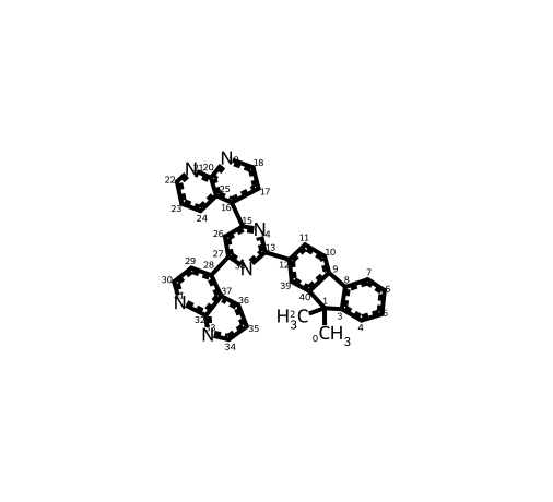 CC1(C)c2ccccc2-c2ccc(-c3nc(-c4ccnc5ncccc45)cc(-c4ccnc5ncccc45)n3)cc21